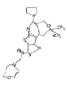 CC1(C)Cc2c(c(N3CCCC3)nc3sc4c(NCCN5CCOCC5)ncnc4c23)CO1